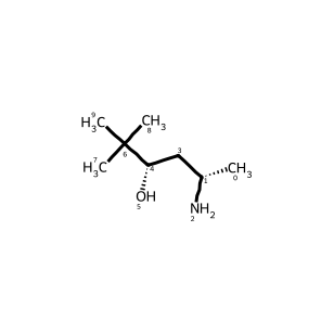 C[C@H](N)C[C@H](O)C(C)(C)C